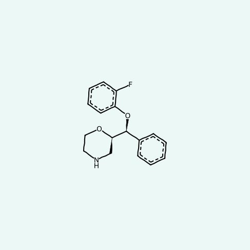 Fc1ccccc1O[C@@H](c1ccccc1)[C@H]1CNCCO1